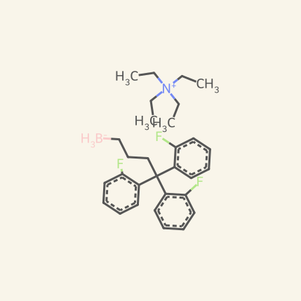 CC[N+](CC)(CC)CC.[BH3-]CCCC(c1ccccc1F)(c1ccccc1F)c1ccccc1F